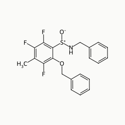 Cc1c(F)c(F)c([S+]([O-])NCc2ccccc2)c(OCc2ccccc2)c1F